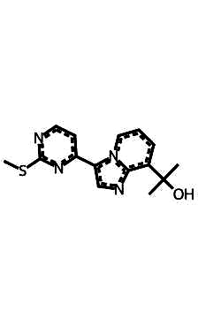 CSc1nccc(-c2cnc3c(C(C)(C)O)cccn23)n1